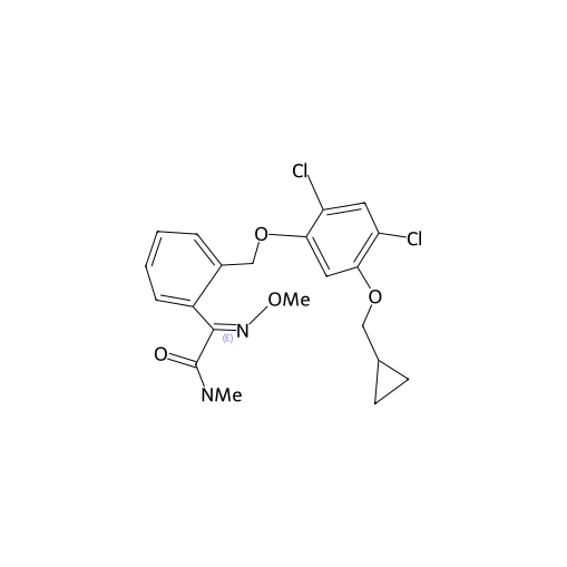 CNC(=O)/C(=N/OC)c1ccccc1COc1cc(OCC2CC2)c(Cl)cc1Cl